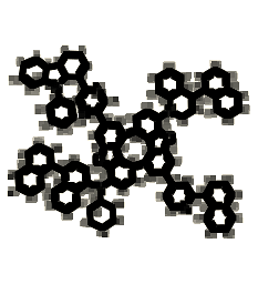 C1=CC2C3C=CC=C(c4cnc(-c5cc6oc7c(N(c8ccc(-c9cccc%10ccccc9%10)c9ccccc89)C8CCCCC8)ccc8c9cc(-c%10ccnc(-c%11cccc%12ccccc%11%12)c%10)cc%10oc%11c(N%12CC=C(c%13cccc%14ccccc%13%14)c%13ccccc%13%12)ccc(c(c5)c6c78)c%11c%109)cn4)C3N(c3ccccc3)C2C=C1